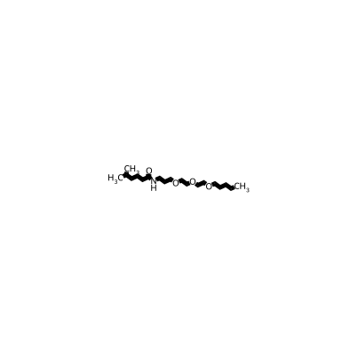 CCCCCOCCOCCOCCCNC(=O)CCCC(C)C